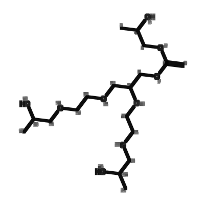 C=C(OCC(C)O)OCC(COCCOCC(C)O)OCCOCC(C)O